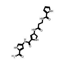 NC(=O)c1cc(NC(=O)C2=CC(NC(=O)CCNC(=O)c3ccc[nH]3)CN2)c[nH]1